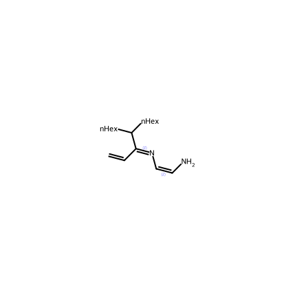 C=C/C(=N\C=C/N)C(CCCCCC)CCCCCC